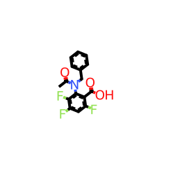 CC(=O)N(Cc1ccccc1)c1c(F)c(F)cc(F)c1C(=O)O